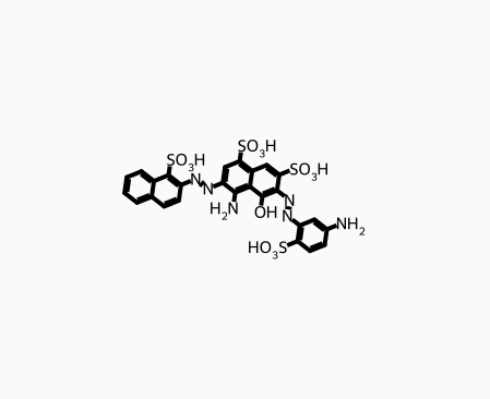 Nc1ccc(S(=O)(=O)O)c(/N=N/c2c(S(=O)(=O)O)cc3c(S(=O)(=O)O)cc(/N=N/c4ccc5ccccc5c4S(=O)(=O)O)c(N)c3c2O)c1